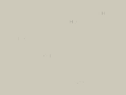 CCCCCCCCCCCCC(c1cccc(C)c1O)c1cccc(C)c1O